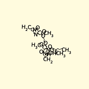 C=C1CC2C=Nc3cc(OCCCOc4cc5c(cc4OC)C(=O)N4CC(=C)C[C@H]4C(O)N5C(=O)OCC(CCCC)SC)c(OC)cc3C(=O)N2C1